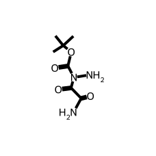 CC(C)(C)OC(=O)N(N)C(=O)C(N)=O